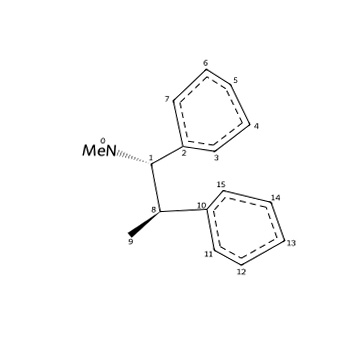 CN[C@H](c1ccccc1)[C@H](C)c1ccccc1